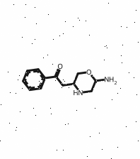 NC1CNC(CC(=O)c2ccccc2)CO1